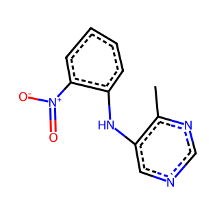 Cc1ncncc1Nc1ccccc1[N+](=O)[O-]